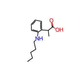 CCCCCNc1ccccc1C(C)C(=O)O